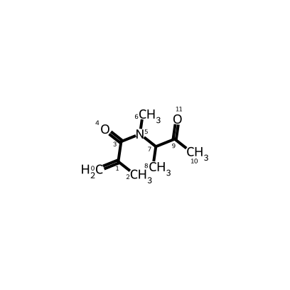 C=C(C)C(=O)N(C)C(C)C(C)=O